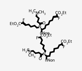 CCCCCCCCCC(CCCCC/C=C(\F)C(=O)OCC)N(CCCC/C=C(\F)C(=O)OCC)C(=O)CCCN(C)C.CCCCCCCCCC(CCCCCCC(F)C(=O)OCC)N(CCCCCC(F)C(=O)OCC)C(=O)CCCN(C)C